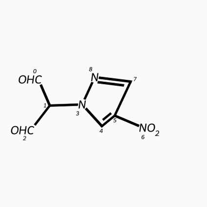 O=CC(C=O)n1cc([N+](=O)[O-])cn1